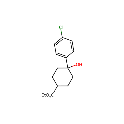 CCOC(=O)C1CCC(O)(c2ccc(Cl)cc2)CC1